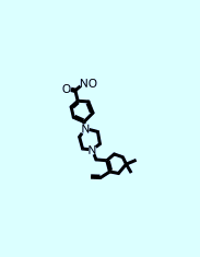 C=CC1=C(CN2CCN(c3ccc(C(=O)N=O)cc3)CC2)CCC(C)(C)C1